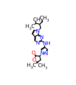 CCC(Cn1ccc2cnc(Nc3cnn(C4CC(C)(C)OC4=O)c3)nc21)C(C)C